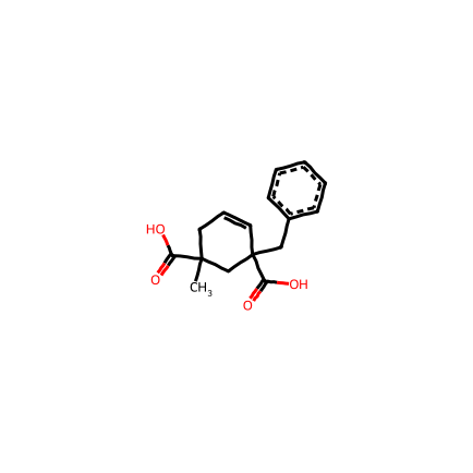 CC1(C(=O)O)CC=CC(Cc2ccccc2)(C(=O)O)C1